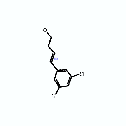 [O]CC/C=C/c1cc(Cl)cc(Cl)c1